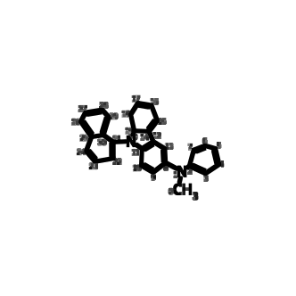 CN(c1ccccc1)c1ccc2c(c1)C1=CC=CCC1N2c1cccc2ccccc12